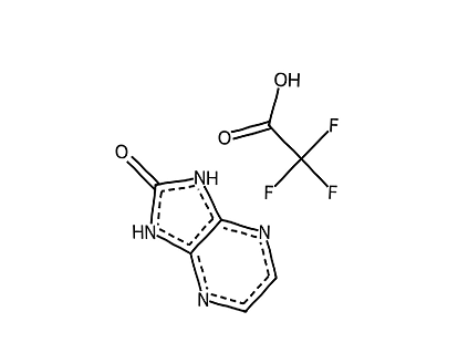 O=C(O)C(F)(F)F.O=c1[nH]c2nccnc2[nH]1